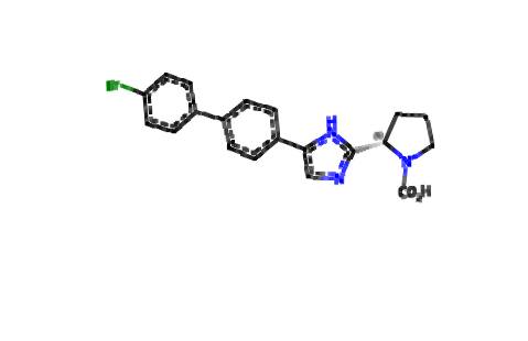 O=C(O)N1CCC[C@H]1c1ncc(-c2ccc(-c3ccc(Br)cc3)cc2)[nH]1